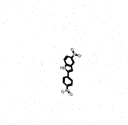 O=[N+]([O-])c1ccc(-c2cc3cc([N+](=O)[O-])ccc3[nH]2)cc1